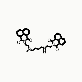 CN(CCCCNCCN1C(=O)c2cccc3cccc(c23)C1=O)CCN1C(=O)c2cccc3cccc(c23)C1=O